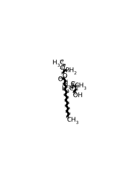 CCCCCCCCCCCCCCCC(=O)OCC(P)OCC.C[N+](C)(C)CCO